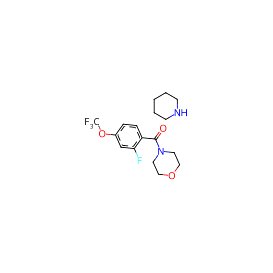 C1CCNCC1.O=C(c1ccc(OC(F)(F)F)cc1F)N1CCOCC1